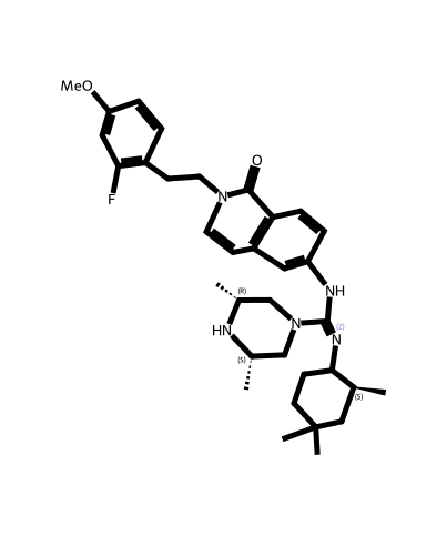 COc1ccc(CCn2ccc3cc(N/C(=N/C4CCC(C)(C)C[C@@H]4C)N4C[C@@H](C)N[C@@H](C)C4)ccc3c2=O)c(F)c1